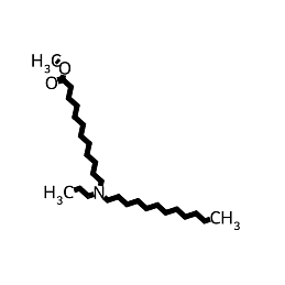 CCCCCCCCCCCCN(CCC)CCCCCCCCCCCC(=O)OC